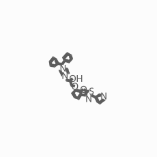 OC(COc1cccc2c1oc1sc(-c3cccnc3)nc12)CN1CCN(C(c2ccccc2)c2ccccc2)CC1